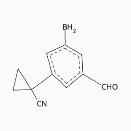 Bc1cc(C=O)cc(C2(C#N)CC2)c1